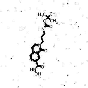 CC(C)(C)OC(=O)NCCCn1ccc2ccc(C(=O)NO)cc2c1=O